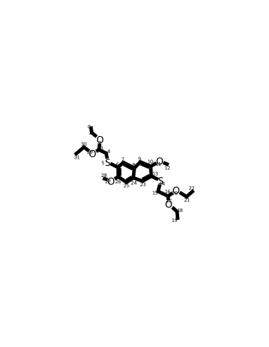 CCOC(CSc1cc2cc(OC)c(SCC(OCC)OCC)cc2cc1OC)OCC